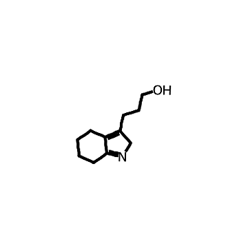 OCCCC1=C2CCCCC2=NC1